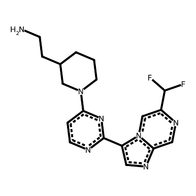 NCCC1CCCN(c2ccnc(-c3cnc4cnc(C(F)F)cn34)n2)C1